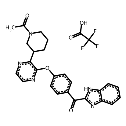 CC(=O)N1CCCC(c2nccnc2Oc2ccc(C(=O)c3nc4ccccc4[nH]3)cc2)C1.O=C(O)C(F)(F)F